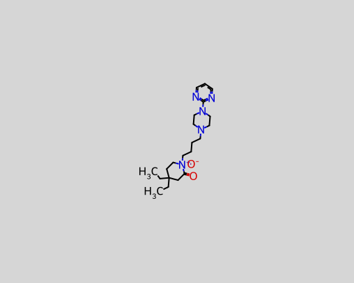 CCC1(CC)CC[N+]([O-])(CCCCN2CCN(c3ncccn3)CC2)C(=O)C1